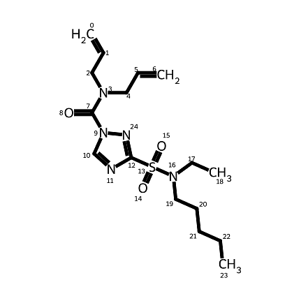 C=CCN(CC=C)C(=O)n1cnc(S(=O)(=O)N(CC)CCCCC)n1